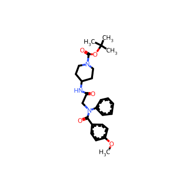 COc1ccc(C(=O)N(CC(=O)NC2CCN(C(=O)OC(C)(C)C)CC2)c2ccccc2)cc1